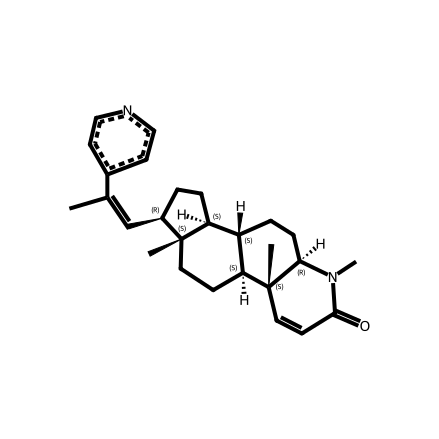 CC(=C[C@H]1CC[C@H]2[C@@H]3CC[C@H]4N(C)C(=O)C=C[C@]4(C)[C@H]3CC[C@]12C)c1ccncc1